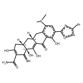 B=C1C(C(N)=O)=C(O)C[C@@H]2C[C@@H]3Cc4c(N(C)C)cc(-c5nc(C(C)C)no5)c(O)c4C(=O)C3=C(O)[C@]12O